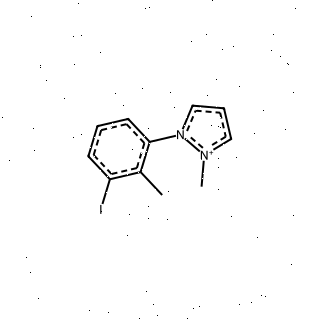 Cc1c(I)cccc1-n1ccc[n+]1C